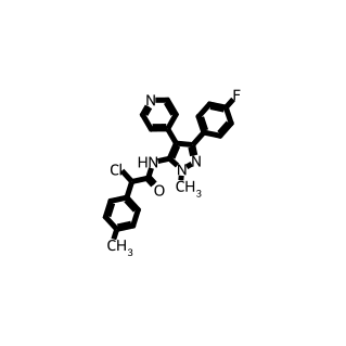 Cc1ccc(C(Cl)C(=O)Nc2c(-c3ccncc3)c(-c3ccc(F)cc3)nn2C)cc1